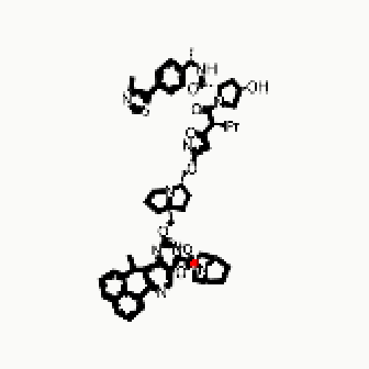 Cc1ncsc1-c1ccc([C@H](C)NC(=O)[C@@H]2C[C@@H](O)CN2C(=O)[C@H](c2cc(OC[C@@H]3CC[C@]4(COc5nc(N6CC7CCC(C6)N7C(=O)OC(C)(C)C)c6cnc7c(c6n5)C(C)c5cccc6cccc-7c56)CCCN34)no2)C(C)C)cc1